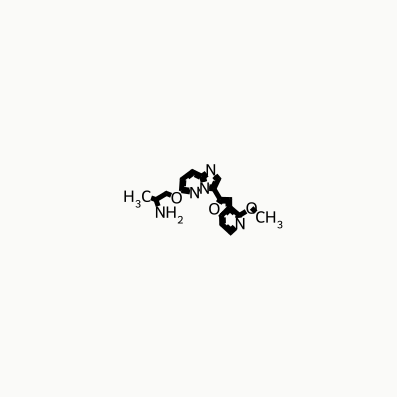 COc1nccc2oc(-c3cnc4ccc(OCC(C)N)nn34)cc12